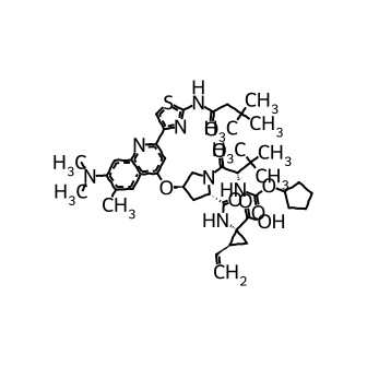 C=C[C@@H]1C[C@]1(NC(=O)[C@@H]1C[C@@H](Oc2cc(-c3csc(NC(=O)CC(C)(C)C)n3)nc3cc(N(C)C)c(C)cc23)CN1C(=O)[C@@H](NC(=O)OC1CCCC1)C(C)(C)C)C(=O)O